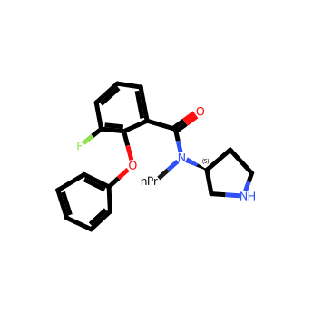 CCCN(C(=O)c1cccc(F)c1Oc1ccccc1)[C@H]1CCNC1